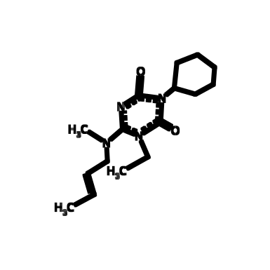 CC=CCN(C)c1nc(=O)n(C2CCCCC2)c(=O)n1CC